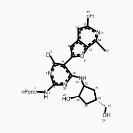 CCCCCNc1nc(Cl)c(-c2cc3cc(CCC)nc(C)c3o2)c(NC2C[C@H](CO)C[C@H]2O)n1